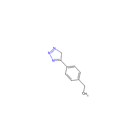 CCc1ccc(C2=NN=NC2)cc1